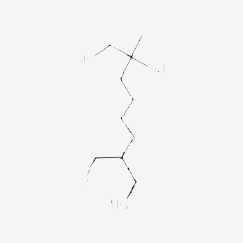 CC(O)(CO)C[CH]CCC(CO)CO